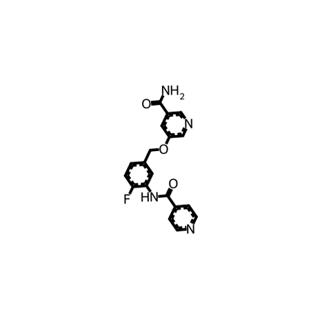 NC(=O)c1cncc(OCc2ccc(F)c(NC(=O)c3ccncc3)c2)c1